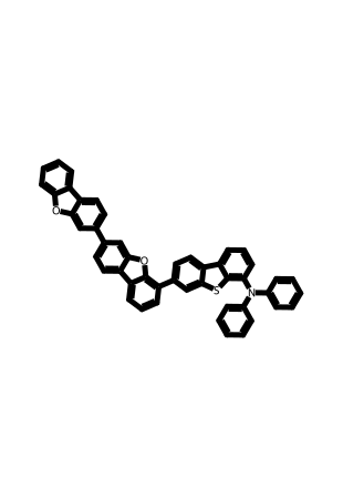 c1ccc(N(c2ccccc2)c2cccc3c2sc2cc(-c4cccc5c4oc4cc(-c6ccc7c(c6)oc6ccccc67)ccc45)ccc23)cc1